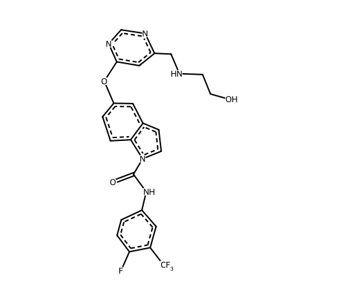 O=C(Nc1ccc(F)c(C(F)(F)F)c1)n1ccc2cc(Oc3cc(CNCCO)ncn3)ccc21